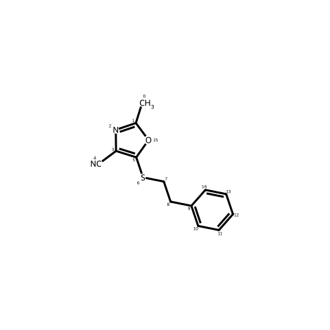 Cc1nc(C#N)c(SCCc2ccccc2)o1